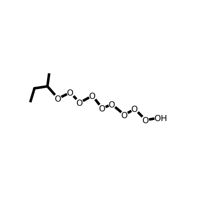 CCC(C)OOOOOOOOOO